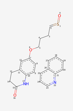 O=S=CCCCOc1ccc2c(c1)CCC(=O)N2.c1ccc2ncccc2c1